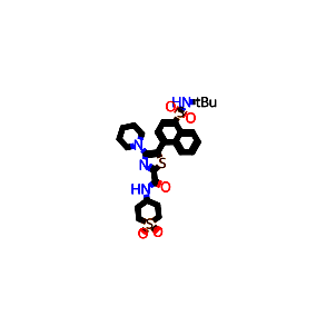 CC(C)(C)NS(=O)(=O)c1ccc(-c2sc(C(=O)NC3CCS(=O)(=O)CC3)nc2N2CCCCC2)c2ccccc12